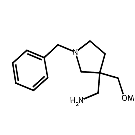 COCC1(CN)CCN(Cc2ccccc2)C1